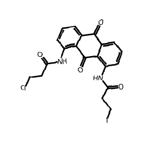 O=C(CCCl)Nc1cccc2c1C(=O)c1c(NC(=O)CCI)cccc1C2=O